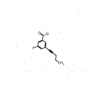 CCCC#Cc1cc(F)cc([N+](=O)[O-])c1